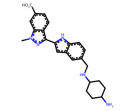 Cn1nc(-c2cc3cc(CNC4CCC(N)CC4)ccc3[nH]2)c2ccc(C(=O)O)cc21